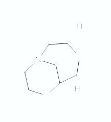 C[C@H]1CN2CCO[C@H](CO1)C2